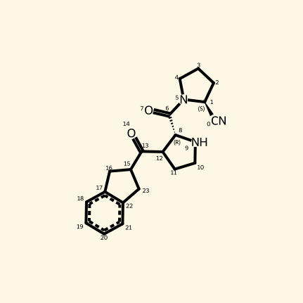 N#C[C@@H]1CCCN1C(=O)[C@@H]1NCCC1C(=O)C1Cc2ccccc2C1